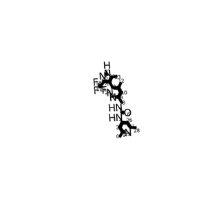 Cc1cc(NC(=O)NCc2cc(C)c(-c3c(C(F)(F)F)n[nH]c3C)nn2)cc(C)n1